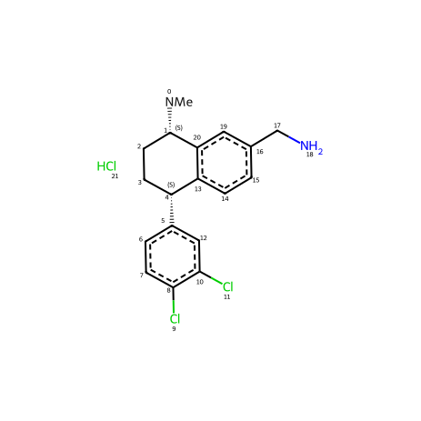 CN[C@H]1CC[C@@H](c2ccc(Cl)c(Cl)c2)c2ccc(CN)cc21.Cl